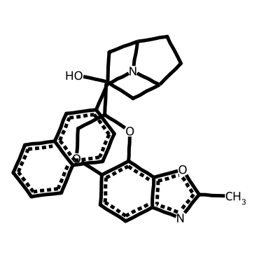 Cc1nc2ccc3c(c2o1)OC(CN1C2CCC1CC(O)(c1ccc4ccccc4c1)C2)CO3